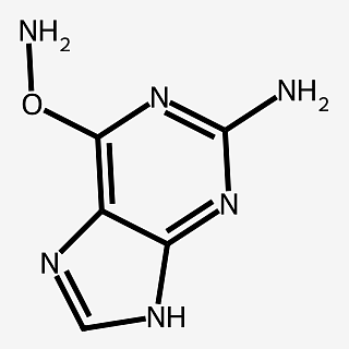 NOc1nc(N)nc2[nH]cnc12